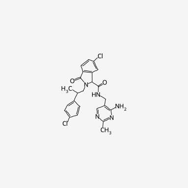 Cc1ncc(CNC(=O)C2c3cc(Cl)ccc3C(=O)N2CC(C)c2ccc(Cl)cc2)c(N)n1